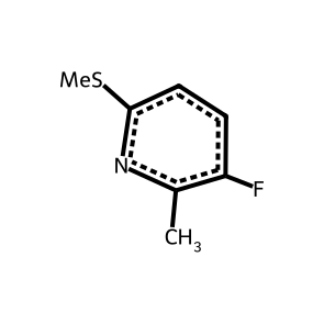 CSc1ccc(F)c(C)n1